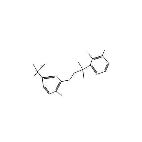 Cc1ccc(C(C)(C)C)cc1CCC(C)(C)c1cccc(F)c1F